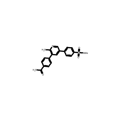 CNS(=O)(=O)c1ccc(-c2cnc(N)c(-c3ccc(C(N)=O)cc3)c2)cc1